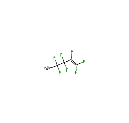 CCCC(F)(F)C(F)(F)C(F)=C(F)F